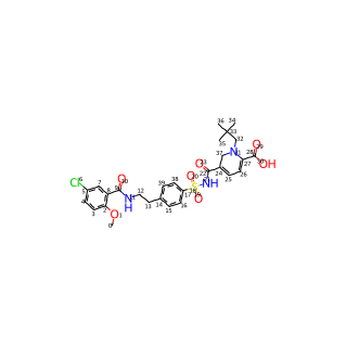 COc1ccc(Cl)cc1C(=O)NCCc1ccc(S(=O)(=O)NC(=O)C2=CC=C(C(=O)O)N(CC(C)(C)C)C2)cc1